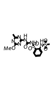 COc1nc(C)nc(NC(=O)NS(=O)(=O)c2ccccc2NS(C)(=O)=O)n1